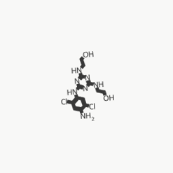 Nc1cc(Cl)c(Nc2nc(NCCO)nc(NCCO)n2)cc1Cl